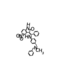 CN(Cc1ccccc1)Cc1ccc(NC(=C2C(=O)Nc3ccc([N+](=O)[O-])cc32)c2ccccc2)cc1